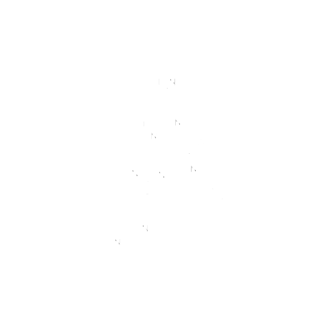 CCn1c(N2CCC[C@@H](N)C2)c(C(=O)NCC2CC2)c2c1c(=O)n(Cc1ccc3nccnc3c1)c(=O)n2C